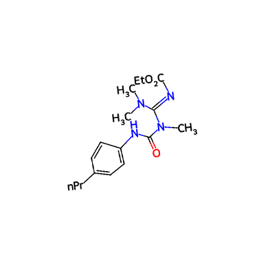 CCCc1ccc(NC(=O)N(C)C(=NC(=O)OCC)N(C)C)cc1